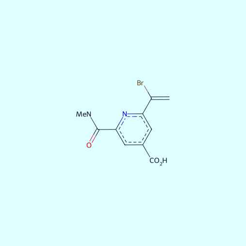 C=C(Br)c1cc(C(=O)O)cc(C(=O)NC)n1